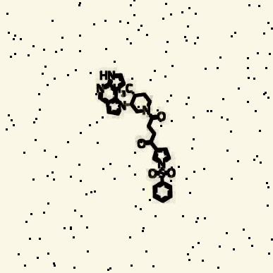 C[C@@H]1CCN(C(=O)CCC(=O)c2ccn(S(=O)(=O)c3ccccc3)c2)C[C@@H]1n1ccc2cnc3[nH]ccc3c21